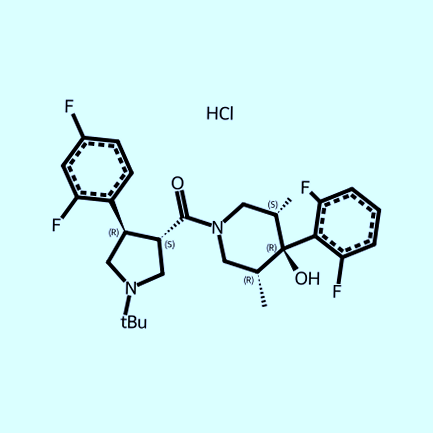 C[C@@H]1CN(C(=O)[C@@H]2CN(C(C)(C)C)C[C@H]2c2ccc(F)cc2F)C[C@H](C)[C@]1(O)c1c(F)cccc1F.Cl